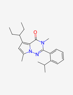 CCC(CC)c1cc(C)n2nc(-c3ccccc3C(C)C)n(C)c(=O)c12